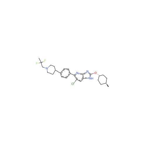 CC(F)(F)CN1CCC(c2ccc(-c3nc4nc(O[C@H]5CC[C@H](C)CC5)[nH]c4cc3Cl)cc2)CC1